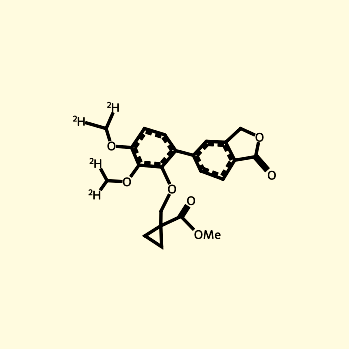 [2H]C([2H])Oc1ccc(-c2ccc3c(c2)COC3=O)c(OCC2(C(=O)OC)CC2)c1OC([2H])[2H]